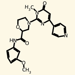 COc1cccc(NC(=O)C2CN(c3nc(-c4ccncc4)cc(=O)n3C)CCO2)c1